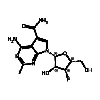 Cc1nc(N)c2c(C(N)=O)cn([C@@H]3O[C@H](CO)[C@@H](F)[C@H]3O)c2n1